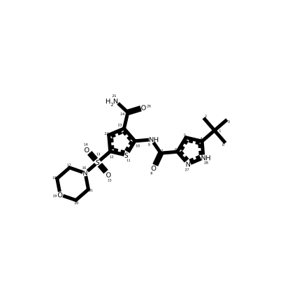 CC(C)(C)c1cc(C(=O)Nc2sc(S(=O)(=O)N3CCOCC3)cc2C(N)=O)n[nH]1